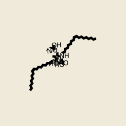 CCCCCCCC/C=C\CCCCCCCCNC(CC)[N+](CC(=O)O)(C(C)O)C(CC)NCCCCCCCC/C=C\CCCCCCCC.C[N+](C)(C)CC(=O)O